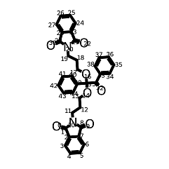 O=C1c2ccccc2C(=O)N1CCCOC(OCCCN1C(=O)c2ccccc2C1=O)(C(=O)c1ccccc1)c1ccccc1